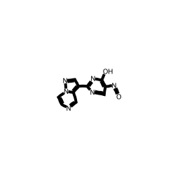 O=Nc1cnc(-c2cnn3ccncc23)nc1O